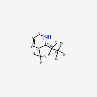 CC(C)(C)C1C=CCNC1C(C)(C)C(C)(C)C